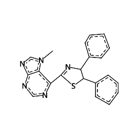 Cn1cnc2ncnc(C3=NC(c4ccccc4)C(c4ccccc4)S3)c21